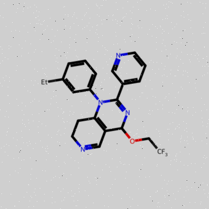 CCc1cccc(N2C(c3cccnc3)=NC(OCC(F)(F)F)C3=C2CCN=C3)c1